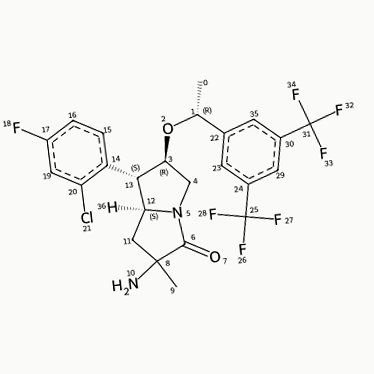 C[C@@H](O[C@H]1CN2C(=O)C(C)(N)C[C@H]2[C@@H]1c1ccc(F)cc1Cl)c1cc(C(F)(F)F)cc(C(F)(F)F)c1